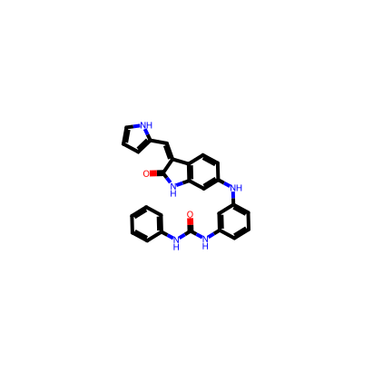 O=C(Nc1ccccc1)Nc1cccc(Nc2ccc3c(c2)NC(=O)/C3=C\c2ccc[nH]2)c1